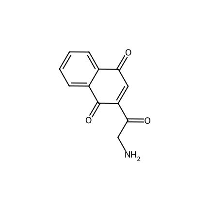 NCC(=O)C1=CC(=O)c2ccccc2C1=O